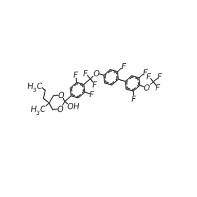 CCCC1(C)COC(O)(c2cc(F)c(C(F)(F)Oc3ccc(-c4cc(F)c(OC(F)(F)F)c(F)c4)c(F)c3)c(F)c2)OC1